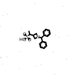 CC(C1CN(C(c2ccccc2)c2ccccc2)C1)S(=O)(=O)O